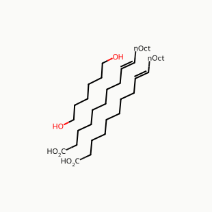 CCCCCCCCC=CCCCCCCCC(=O)O.CCCCCCCCC=CCCCCCCCC(=O)O.OCCCCCCO